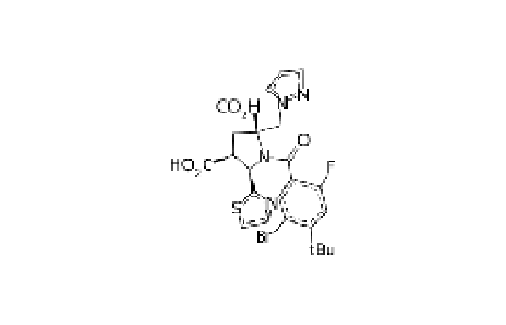 CC(C)(C)c1cc(F)c(C(=O)N2[C@@H](c3nccs3)[C@@H](C(=O)O)C[C@@]2(Cn2cccn2)C(=O)O)cc1Br